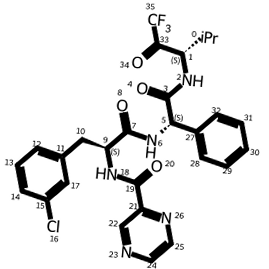 CC(C)[C@H](NC(=O)[C@@H](NC(=O)[C@H](Cc1cccc(Cl)c1)NC(=O)c1cnccn1)c1ccccc1)C(=O)C(F)(F)F